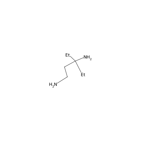 [CH2]CC(N)(CC)CCN